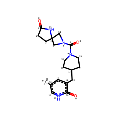 O=C1CCC2(CN(C(=O)N3CCC(Cc4cc(C(F)(F)F)c[nH]c4=O)CC3)C2)N1